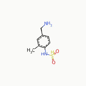 Cc1cc(CN)ccc1N[SH](=O)=O